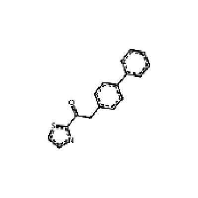 O=C(Cc1ccc(-c2ccccc2)cc1)c1nccs1